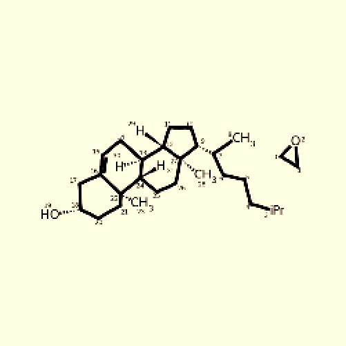 C1CO1.CC(C)CCCC(C)[C@H]1CC[C@H]2[C@@H]3CC=C4C[C@@H](O)CC[C@]4(C)[C@H]3CC[C@]12C